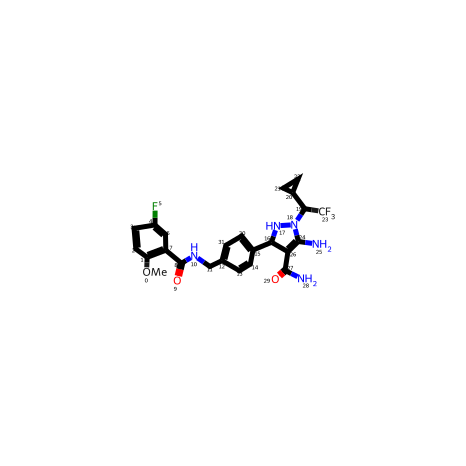 COc1ccc(F)cc1C(=O)NCc1ccc(C2NN(C(C3CC3)C(F)(F)F)C(N)=C2C(N)=O)cc1